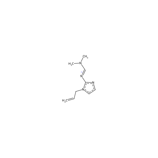 C=CCn1ccnc1/N=C/N(C)C